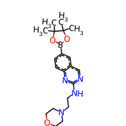 CC1(C)OB(c2ccc3nc(NCCN4CCOCC4)ncc3c2)OC1(C)C